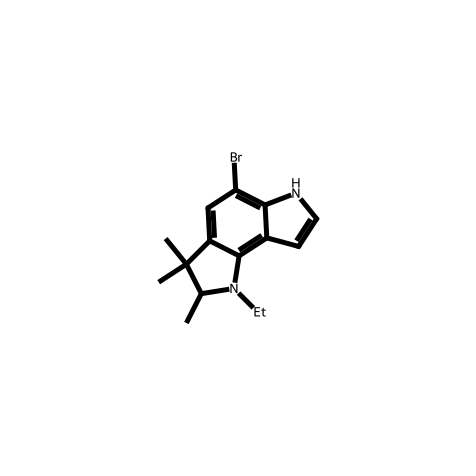 CCN1c2c(cc(Br)c3[nH]ccc23)C(C)(C)C1C